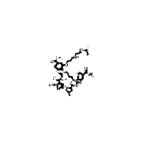 CCn1nc(C)cc1C(=O)Nc1nc2cc(C(N)=O)cnc2n1C/C=C/Cn1c(NC(=O)c2cc(C)nn2CC)nc2cc(C(N)=O)cc(OCCCNCCOC(F)F)c21